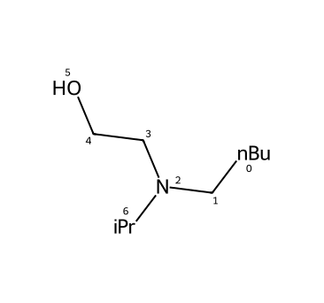 CCCCCN(CCO)C(C)C